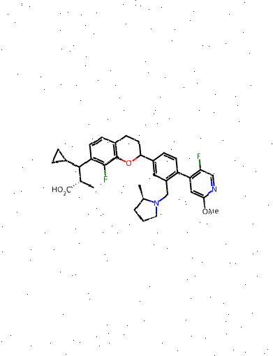 COc1cc(-c2ccc(C3CCc4ccc(C(C5CC5)[C@H](C)C(=O)O)c(F)c4O3)cc2CN2CCC[C@H]2C)c(F)cn1